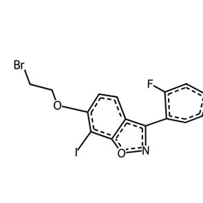 Fc1ccccc1-c1noc2c(I)c(OCCBr)ccc12